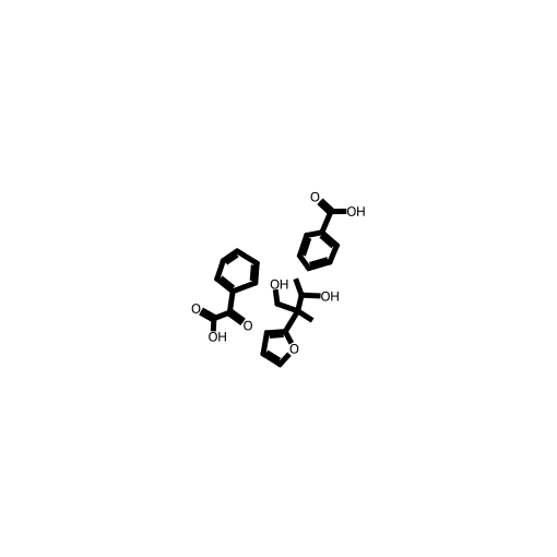 CC(O)C(C)(CO)c1ccco1.O=C(O)C(=O)c1ccccc1.O=C(O)c1ccccc1